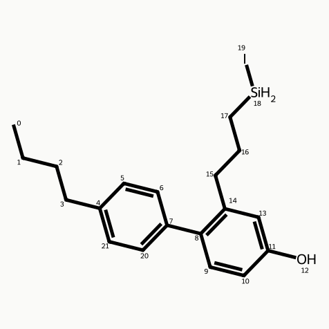 CCCCc1ccc(-c2ccc(O)cc2CCC[SiH2]I)cc1